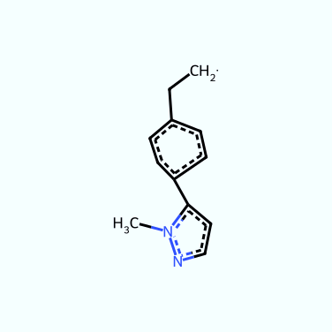 [CH2]Cc1ccc(-c2ccnn2C)cc1